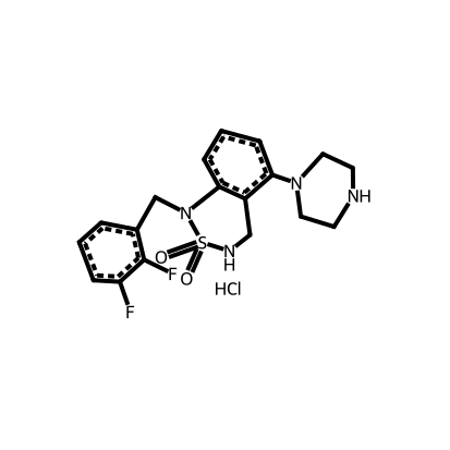 Cl.O=S1(=O)NCc2c(N3CCNCC3)cccc2N1Cc1cccc(F)c1F